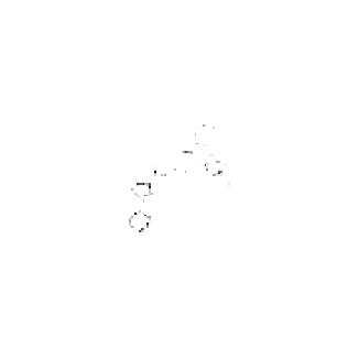 CC(C)c1nnc(N(CCNC(=O)c2cn(-c3ccccc3)nc2C(F)(F)F)C(=O)C2CCCCC2)o1